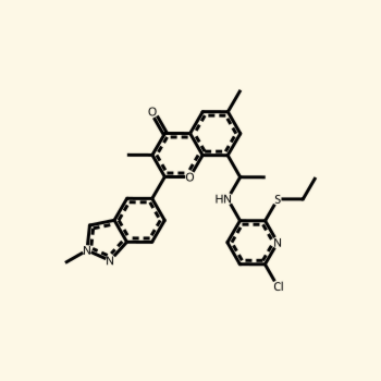 CCSc1nc(Cl)ccc1NC(C)c1cc(C)cc2c(=O)c(C)c(-c3ccc4nn(C)cc4c3)oc12